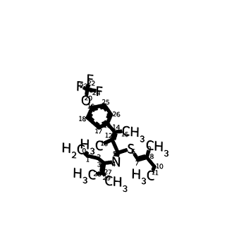 C=CCC(/N=C(S/C=C(\C)CC)\C(C)=C(/C)c1ccc(OC(F)(F)F)cc1)=C(C)C